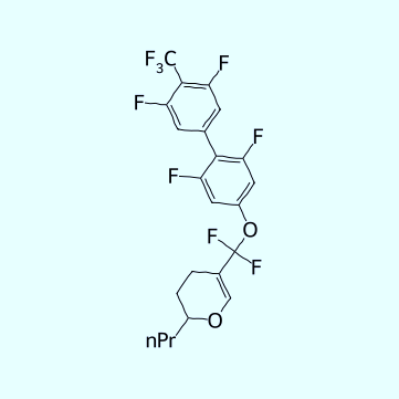 CCCC1CCC(C(F)(F)Oc2cc(F)c(-c3cc(F)c(C(F)(F)F)c(F)c3)c(F)c2)=CO1